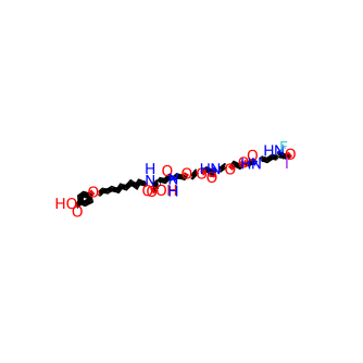 O=C(CC[C@H](NC(=O)CCCCCCCCCCOc1ccc(C(=O)O)cc1)C(=O)O)NCCOCCOCC(=O)NCCOCCOCC(=O)NCCCC[C@H](NF)C(=O)I